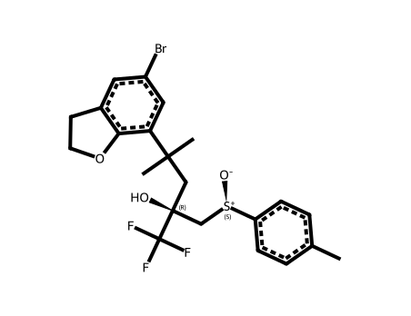 Cc1ccc([S@+]([O-])C[C@@](O)(CC(C)(C)c2cc(Br)cc3c2OCC3)C(F)(F)F)cc1